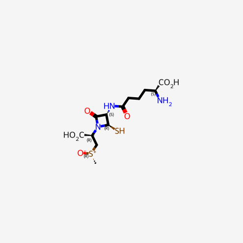 C[S@+]([O-])C[C@@H](C(=O)O)N1C(=O)[C@H](NC(=O)CCC[C@H](N)C(=O)O)[C@H]1S